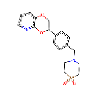 O=S1(=O)CCN(Cc2ccc(C3COc4cccnc4O3)cc2)CC1